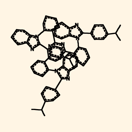 CC(C)c1ccc(-c2nc3ccccc3n2-c2ccccc2-c2nc(-c3ccccc3-n3c(-c4ccc(C(C)C)cc4)nc4ccccc43)nc(-c3ccccc3-n3c(-c4ccc(C(C)C)cc4)nc4ccccc43)n2)cc1